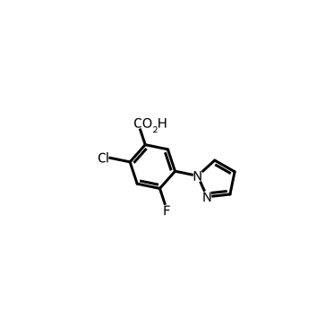 O=C(O)c1cc(-n2cccn2)c(F)cc1Cl